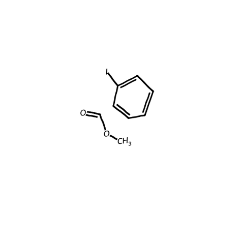 COC=O.Ic1ccccc1